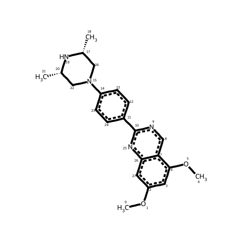 COc1cc(OC)c2cnc(-c3ccc(N4C[C@@H](C)N[C@@H](C)C4)cc3)nc2c1